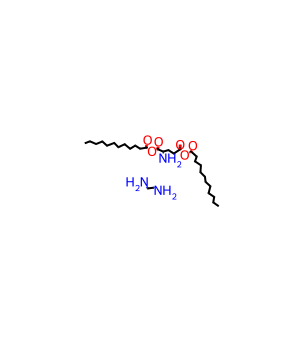 CCCCCCCCCCCC(=O)OC(=O)CC[C@H](N)C(=O)OC(=O)CCCCCCCCCCC.NCCN